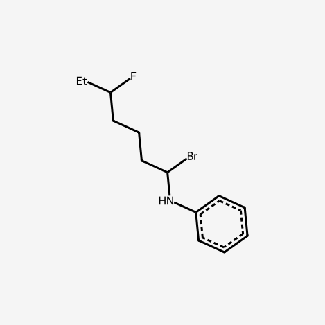 CCC(F)CCCC(Br)Nc1ccccc1